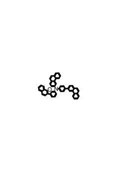 c1ccc2c(c1)ccc1ccc(-c3ccc(N(c4ccc5ccc6ccccc6c5c4)c4cccc5c4oc4c6ccccc6ccc54)cc3)cc12